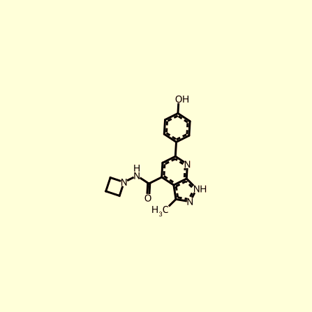 Cc1n[nH]c2nc(-c3ccc(O)cc3)cc(C(=O)NN3CCC3)c12